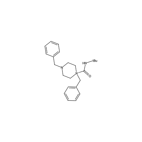 CC(C)(C)NC(=O)[N+]1(Cc2ccccc2)CCN(Cc2ccccc2)CC1